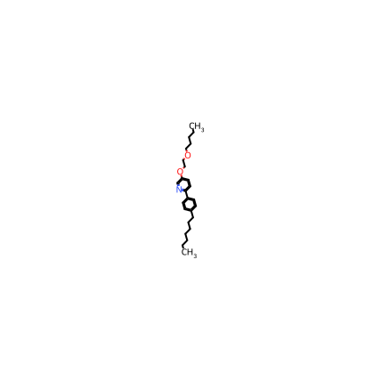 CCCCCCCc1ccc(-c2ccc(OCCOCCCCC)cn2)cc1